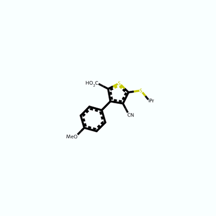 COc1ccc(-c2c(C(=O)O)sc(SC(C)C)c2C#N)cc1